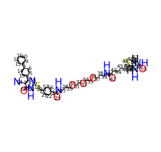 N#Cc1c(-c2ccc(-c3ccccc3)cc2)nc(SCc2ccc(C(=O)NCCCOCCOCCOCCCNC(=O)CCCC[C@@H]3SC[C@@H]4NC(=O)N[C@@H]43)cc2)[nH]c1=O